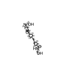 CC(O)c1nccn1Cc1cc(-c2ccc(C#Cc3ccc(C(=O)NCCO)cc3)cc2)on1